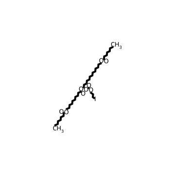 CCCCCCCC(=O)OCCCCCCCCCCC(CCOC(=O)CCCCCCCCCOC(=O)CCCCCCC)OC(=O)OCCCI